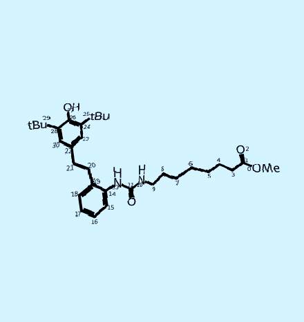 COC(=O)CCCCCCCNC(=O)Nc1ccccc1CCc1cc(C(C)(C)C)c(O)c(C(C)(C)C)c1